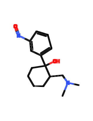 CN(C)CC1CCCCC1(O)c1cccc(N=O)c1